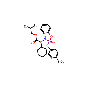 CCC(CC)COC(=O)[C@@H](NP(=O)(Oc1ccccc1)Oc1ccc([N+](=O)[O-])cc1)C1CCCCC1